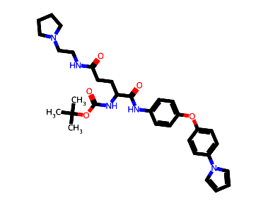 CC(C)(C)OC(=O)NC(CCC(=O)NCCN1CCCC1)C(=O)Nc1ccc(Oc2ccc(-n3cccc3)cc2)cc1